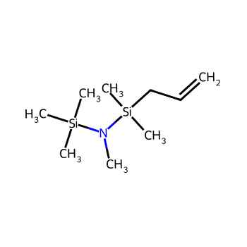 C=CC[Si](C)(C)N(C)[Si](C)(C)C